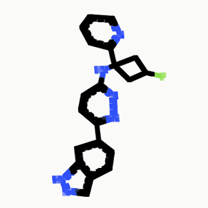 FC1CC(Nc2ccc(-c3ccc4cn[nH]c4c3)nn2)(c2ccccn2)C1